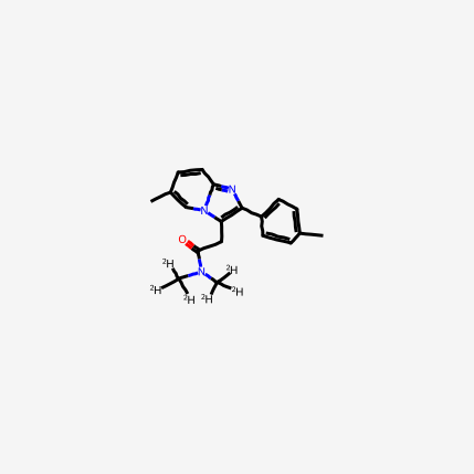 [2H]C([2H])([2H])N(C(=O)Cc1c(-c2ccc(C)cc2)nc2ccc(C)cn12)C([2H])([2H])[2H]